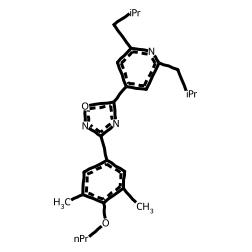 CCCOc1c(C)cc(-c2noc(-c3cc(CC(C)C)nc(CC(C)C)c3)n2)cc1C